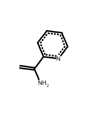 C=C(N)c1ccccn1